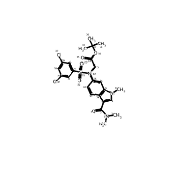 CN(C)C(=O)c1cn(C)c2cc(N(CC(=O)OC(C)(C)C)S(=O)(=O)c3cc(Cl)cc(Cl)c3)ccc12